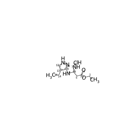 CCOC(=O)CC(=N)Nc1n[nH]cc1CC.Cl